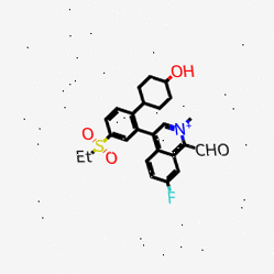 CCS(=O)(=O)c1ccc(C2CCC(O)CC2)c(-c2c[n+](C)c(C=O)c3cc(F)ccc23)c1